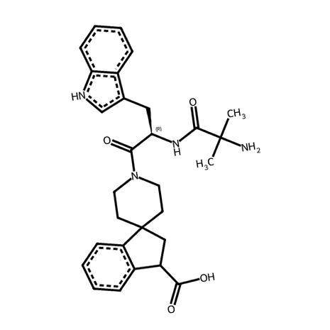 CC(C)(N)C(=O)N[C@H](Cc1c[nH]c2ccccc12)C(=O)N1CCC2(CC1)CC(C(=O)O)c1ccccc12